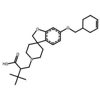 CC(C)(C)C(CN1CCC2(CC1)COc1cc(OCC3CC=CCC3)ccc12)C(=O)O